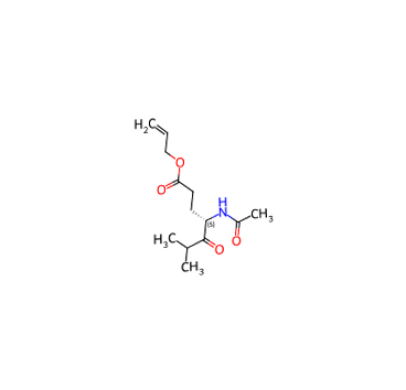 C=CCOC(=O)CC[C@H](NC(C)=O)C(=O)C(C)C